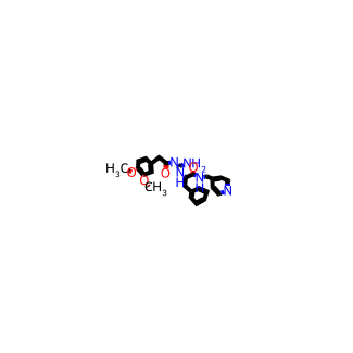 COc1ccc(CC(=O)N=C(N)NC(Cc2ccccc2)C(=O)NCc2ccncc2)cc1OC